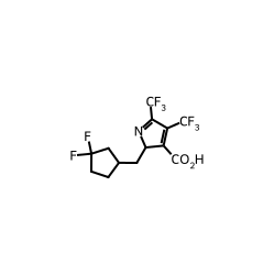 O=C(O)C1=C(C(F)(F)F)C(C(F)(F)F)=NC1CC1CCC(F)(F)C1